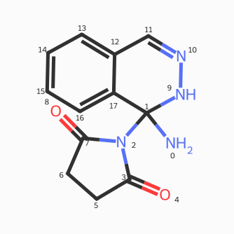 NC1(N2C(=O)CCC2=O)NN=Cc2ccccc21